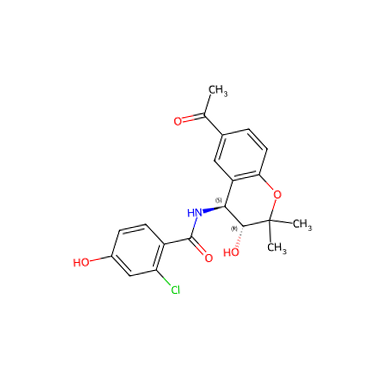 CC(=O)c1ccc2c(c1)[C@H](NC(=O)c1ccc(O)cc1Cl)[C@@H](O)C(C)(C)O2